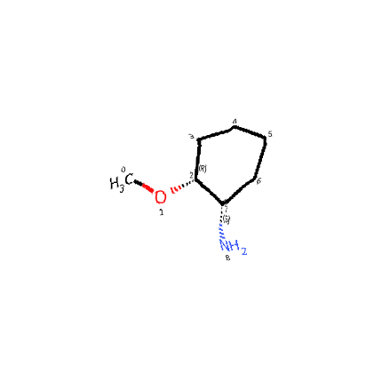 CO[C@@H]1CCCC[C@@H]1N